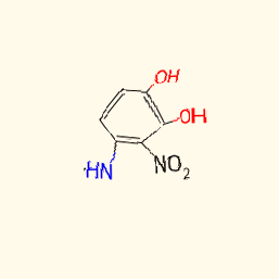 [NH]c1ccc(O)c(O)c1[N+](=O)[O-]